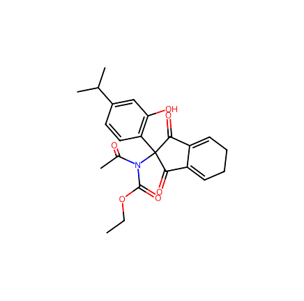 CCOC(=O)N(C(C)=O)C1(c2ccc(C(C)C)cc2O)C(=O)C2=CCCC=C2C1=O